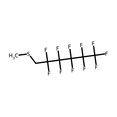 CSCC(F)(F)C(F)(F)C(F)(F)C(F)(F)C(F)(F)F